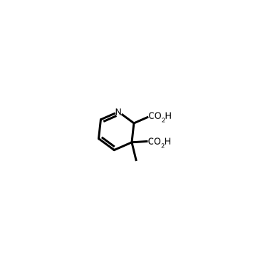 CC1(C(=O)O)C=CC=NC1C(=O)O